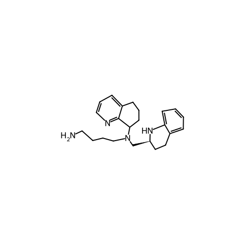 NCCCCN(C[C@@H]1CCc2ccccc2N1)C1CCCc2cccnc21